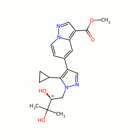 COC(=O)c1cnn2ccc(-c3cnn(C[C@H](O)C(C)(C)O)c3C3CC3)cc12